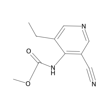 CCc1cncc(C#N)c1NC(=O)OC